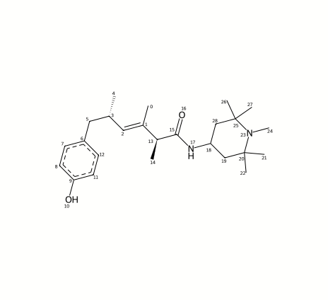 C/C(=C\[C@@H](C)Cc1ccc(O)cc1)[C@H](C)C(=O)NC1CC(C)(C)N(C)C(C)(C)C1